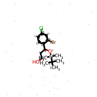 CC(C)(C)[Si](C)(C)OC(CCO)c1ccc(Cl)cc1Br